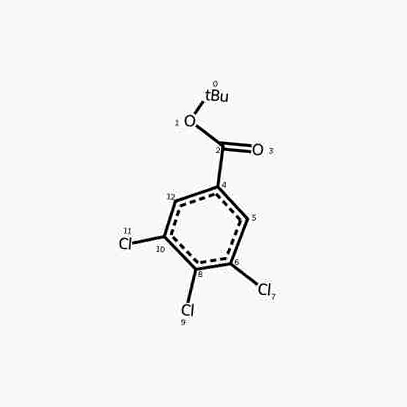 CC(C)(C)OC(=O)c1cc(Cl)c(Cl)c(Cl)c1